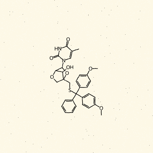 COc1ccc(C(SCC23COC(C(n4cc(C)c(=O)[nH]c4=O)O2)C3O)(c2ccccc2)c2ccc(OC)cc2)cc1